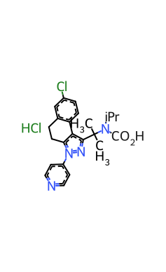 CC(C)N(C(=O)O)C(C)(C)c1nn(-c2ccncc2)c2c1-c1ccc(Cl)cc1CC2.Cl